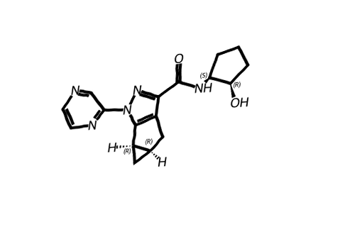 O=C(N[C@H]1CCC[C@H]1O)c1nn(-c2cnccn2)c2c1C[C@H]1C[C@@H]21